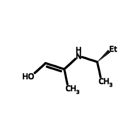 CC[C@H](C)N/C(C)=C/O